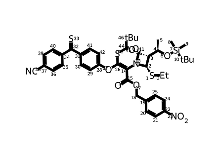 CCS[C@@H]1[C@@H]([C@@H](C)O[Si](C)(C)C(C)(C)C)C(=O)N1C(C(=O)OCc1ccc([N+](=O)[O-])cc1)=C(Oc1ccc(C(=S)c2ccc(C#N)cc2)cc1)SC(=O)C(C)(C)C